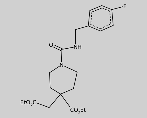 CCOC(=O)CC1(C(=O)OCC)CCN(C(=O)NCc2ccc(F)cc2)CC1